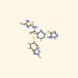 Cc1cn2cc(Sc3ccc(Sc4nnc[nH]4)nc3C(=O)Nc3nc(C)ns3)ccc2n1